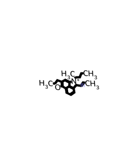 C/C=C/C1=[N+](C(C)CCC)c2cc3c(c4cccc1c24)OC(C)C3